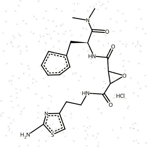 CN(C)C(=O)[C@H](Cc1ccccc1)NC(=O)C1OC1C(=O)NCCc1csc(N)n1.Cl